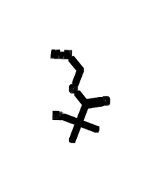 CCC(C)(C)C(=O)OCNC